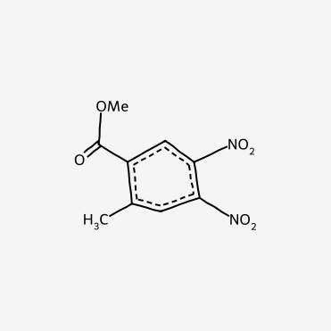 COC(=O)c1cc([N+](=O)[O-])c([N+](=O)[O-])cc1C